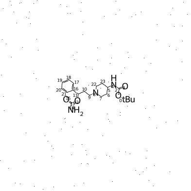 CC(C)(C)OC(=O)NC1CCN(CCC(OC(N)=O)c2ccccc2)CC1